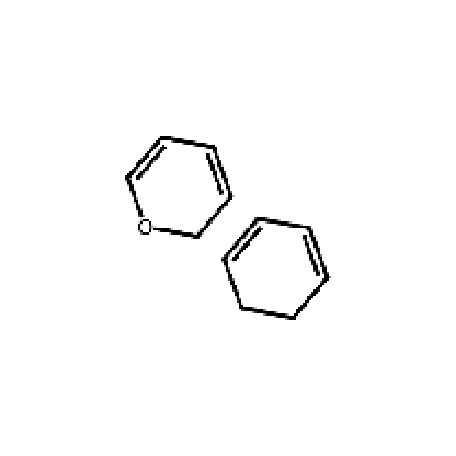 C1=CCCC=C1.C1=CCOC=C1